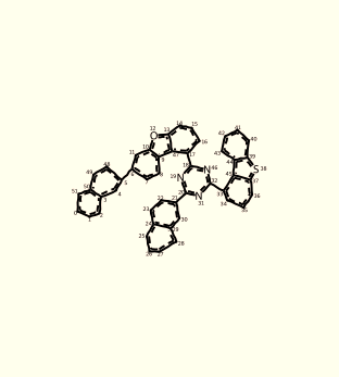 c1ccc2cc(-c3ccc4c(c3)oc3cccc(-c5nc(-c6ccc7ccccc7c6)nc(-c6cccc7sc8ccccc8c67)n5)c34)ccc2c1